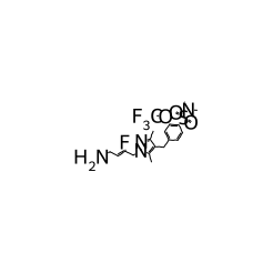 Cc1nn(CC(F)=CCN)c(C)c1Cc1ccc(S(=O)(=O)N(C)C)c(OC(F)(F)F)c1